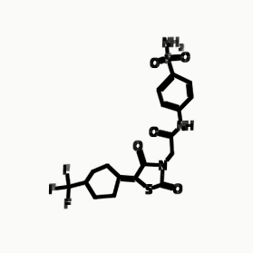 NS(=O)(=O)c1ccc(NC(=O)CN2C(=O)SC(=C3CCC(C(F)(F)F)CC3)C2=O)cc1